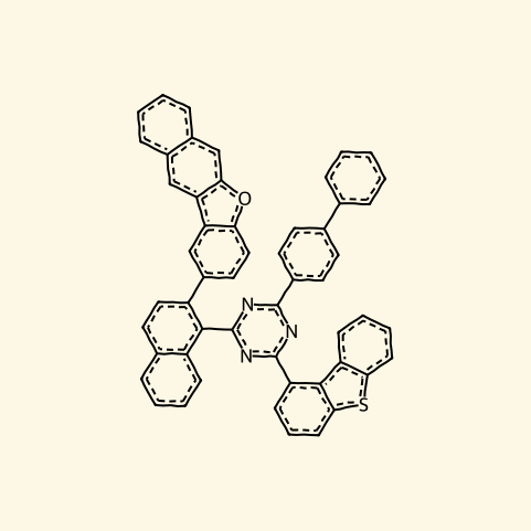 c1ccc(-c2ccc(-c3nc(-c4c(-c5ccc6oc7cc8ccccc8cc7c6c5)ccc5ccccc45)nc(-c4cccc5sc6ccccc6c45)n3)cc2)cc1